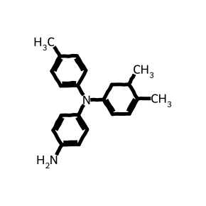 CC1=CC=C(N(c2ccc(C)cc2)c2ccc(N)cc2)CC1C